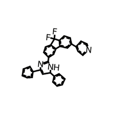 FC1(F)c2ccc(C3=NC(c4ccccc4)=CC(c4ccccc4)N3)cc2-c2cc(-c3ccncc3)ccc21